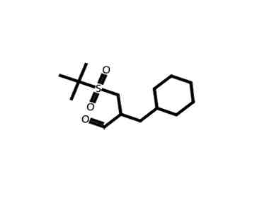 CC(C)(C)S(=O)(=O)CC([C]=O)CC1CCCCC1